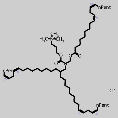 CCCCC/C=C\C/C=C\CCCCCCCCC(CCCCCCCC/C=C\C/C=C\CCCCC)CN(COC(=O)CCCCCCC/C=C\C/C=C\CCCCC)C(=O)OCCC[N+](C)(C)C.[Cl-]